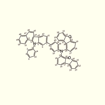 c1ccc(-n2c3cc(-c4ccc(N(c5cccc6c5oc5ccccc56)c5cccc6oc7ccccc7c56)cc4)ccc3c3ccc4ccccc4c32)cc1